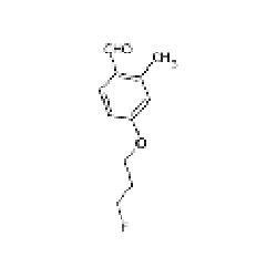 Cc1cc(OCCCF)ccc1C=O